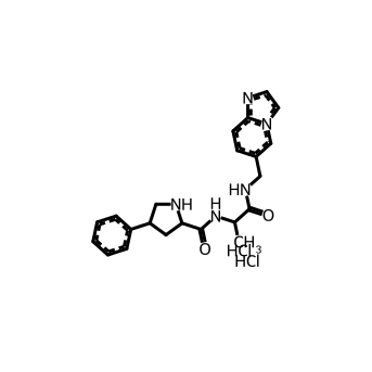 CC(NC(=O)C1CC(c2ccccc2)CN1)C(=O)NCc1ccc2nccn2c1.Cl.Cl